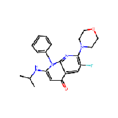 CC(C)Nc1cc(=O)c2cc(F)c(N3CCOCC3)nc2n1-c1ccccc1